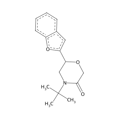 CC(C)(C)N1CC(c2cc3ccccc3o2)OCC1=O